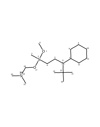 CO[Si](C)(CCN(C1CCCCC1)C(C)(C)C)OC[SiH](C)C